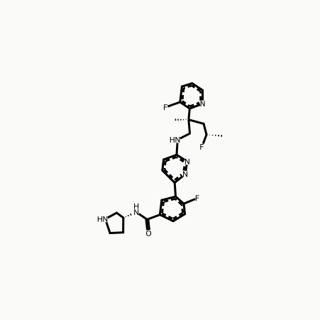 C[C@H](F)C[C@@](C)(CNc1ccc(-c2cc(C(=O)N[C@@H]3CCNC3)ccc2F)nn1)c1ncccc1F